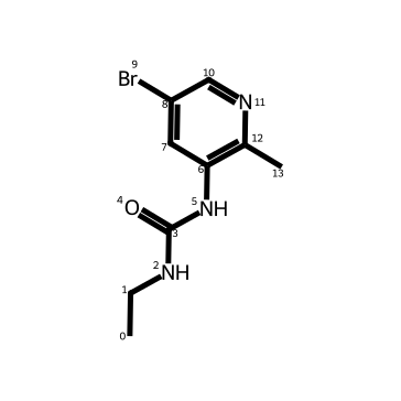 CCNC(=O)Nc1cc(Br)cnc1C